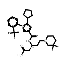 NC(=O)C[C@H](CCN1CCCC(F)(F)C1)NC(=O)c1cn(-c2ccccc2C(F)(F)F)c(C2CCCC2)n1